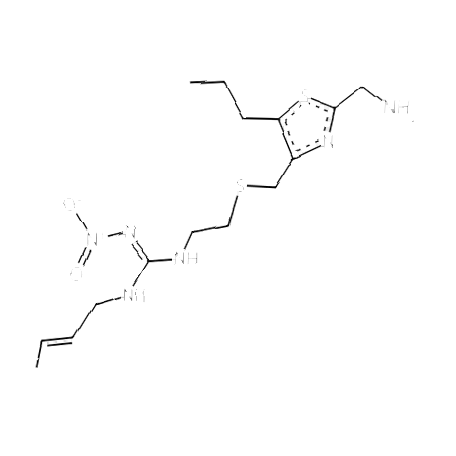 CC=CCNC(=N[N+](=O)[O-])NCCSCc1nc(CN)sc1CCC